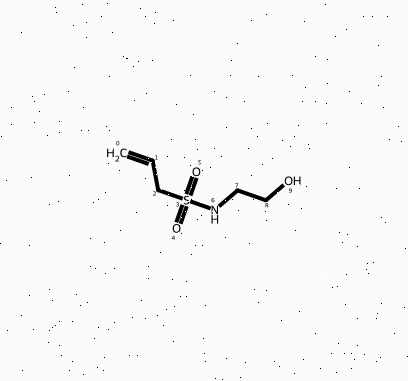 C=CCS(=O)(=O)NCCO